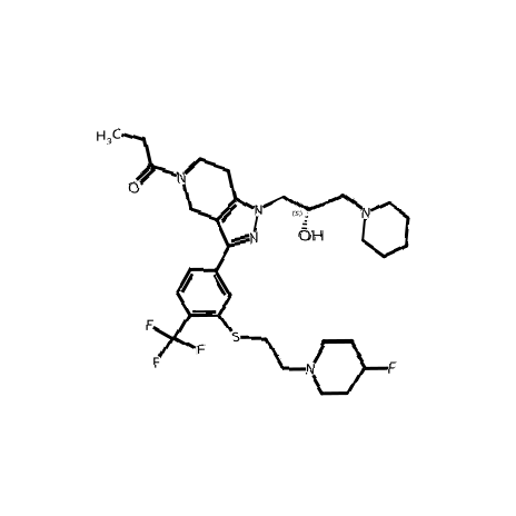 CCC(=O)N1CCc2c(c(-c3ccc(C(F)(F)F)c(SCCN4CCC(F)CC4)c3)nn2C[C@@H](O)CN2CCCCC2)C1